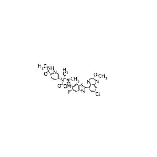 CNC(=O)c1ccc(N(C(=O)O)C(C)[C@H](C)Oc2cc3sc(-c4cc(Cl)cc5nc(OC)cnc45)nc3cc2F)cn1